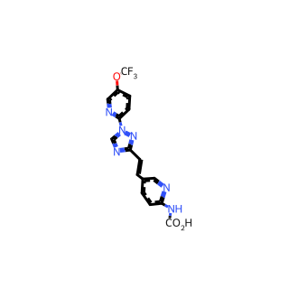 O=C(O)Nc1ccc(/C=C/c2ncn(-c3ccc(OC(F)(F)F)cn3)n2)cn1